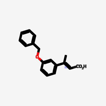 C/C(=C\C(=O)O)c1cccc(OCc2ccccc2)c1